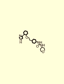 O=C(Nc1ccc(CCOc2ccccc2-c2c[nH]cn2)cc1)NC1CCOCC1